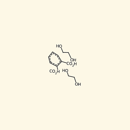 O=C(O)c1ccccc1C(=O)O.OCCO.OCCO